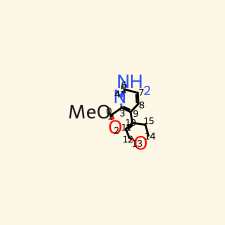 COC(=O)c1nc(N)ccc1C1=CCOCC1